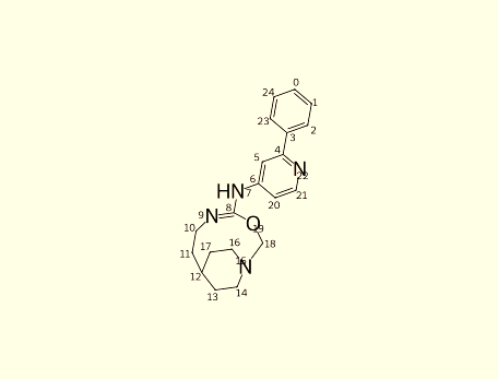 c1ccc(-c2cc(N/C3=N/CCC4CCN(CC4)CO3)ccn2)cc1